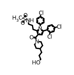 CS(=O)(=O)NCCCc1c(C(=O)N2CCC(CCCO)CC2)cc(-c2ccc(Cl)cc2Cl)n1-c1ccc(Cl)cc1